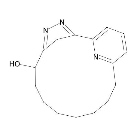 OC1CCCCCCCc2cccc(n2)C2=NN=C1C2